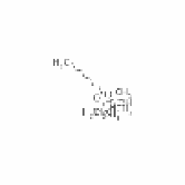 CCCCCCCCC(=O)OC(CC(C)C)(C(C)O)N(C)C